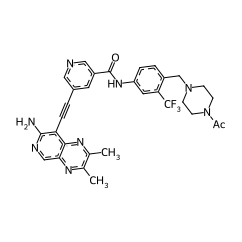 CC(=O)N1CCN(Cc2ccc(NC(=O)c3cncc(C#Cc4c(N)ncc5nc(C)c(C)nc45)c3)cc2C(F)(F)F)CC1